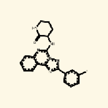 O=C1NCCCC1Nc1nc2ccccc2c2nc(-c3cccc(F)c3)nn12